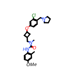 COc1ccc(NC(=O)N(C)CC2CC(Oc3ccc(CN4CCCC4)c(Cl)c3)C2)c(C)c1